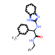 CC(C)CNC(=O)C(Nc1nc2ccccc2[nH]1)c1cccc(C(F)(F)F)c1